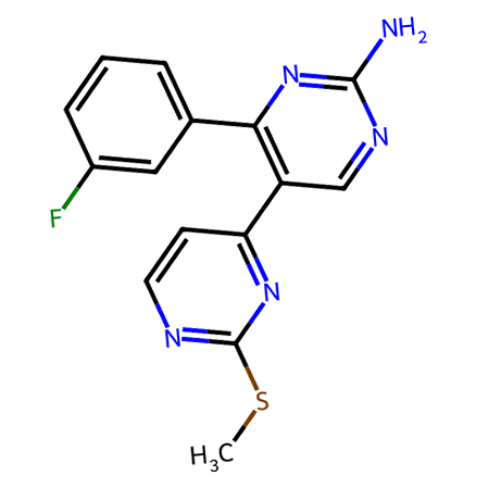 CSc1nccc(-c2cnc(N)nc2-c2cccc(F)c2)n1